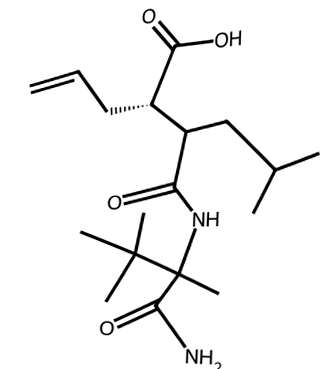 C=CC[C@H](C(=O)O)C(CC(C)C)C(=O)NC(C)(C(N)=O)C(C)(C)C